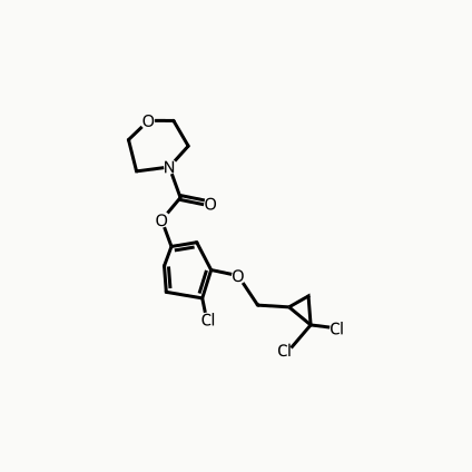 O=C(Oc1ccc(Cl)c(OCC2CC2(Cl)Cl)c1)N1CCOCC1